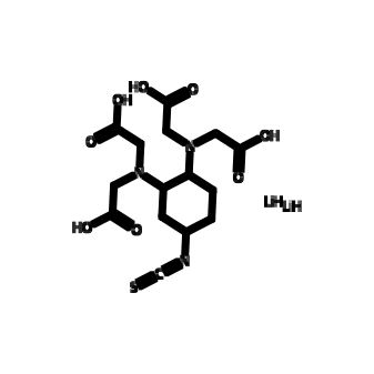 O=C(O)CN(CC(=O)O)C1CCC(N=C=S)CC1N(CC(=O)O)CC(=O)O.[LiH].[LiH]